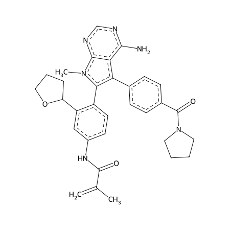 C=C(C)C(=O)Nc1ccc(-c2c(-c3ccc(C(=O)N4CCCC4)cc3)c3c(N)ncnc3n2C)c(C2CCCO2)c1